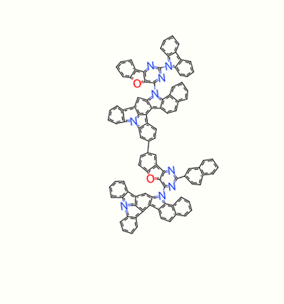 c1ccc2cc(-c3nc(-n4c5cc6c7ccccc7n7c8ccccc8c(c5c5ccc8ccccc8c54)c67)c4oc5ccc(-c6ccc7c8c9c%10ccc%11ccccc%11c%10n(-c%10nc(-n%11c%12ccccc%12c%12ccccc%12%11)nc%11c%10oc%10ccccc%10%11)c9cc9c%10ccccc%10n(c7c6)c98)cc5c4n3)ccc2c1